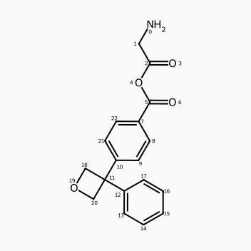 NCC(=O)OC(=O)c1ccc(C2(c3ccccc3)COC2)cc1